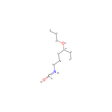 CCCOC(CC)CCCN=C=O